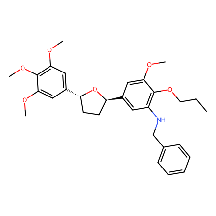 CCCOc1c(NCc2ccccc2)cc([C@H]2CC[C@H](c3cc(OC)c(OC)c(OC)c3)O2)cc1OC